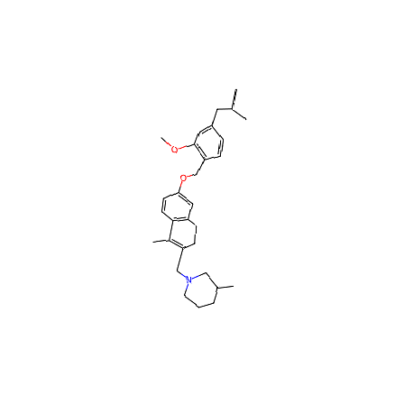 COc1cc(CC(C)C)ccc1COc1ccc2c(c1)CCC(CN1CCCC(C)C1)=C2C